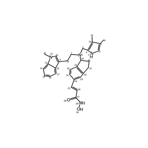 Cc1c[nH]c(CN(CCc2cn(C)c3ccccc23)C2CCc3cc(/C=C/C(=O)NO)ccc32)c1C